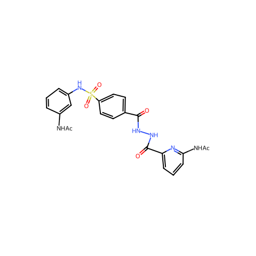 CC(=O)Nc1cccc(NS(=O)(=O)c2ccc(C(=O)NNC(=O)c3cccc(NC(C)=O)n3)cc2)c1